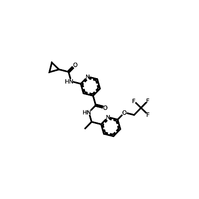 CC(NC(=O)c1ccnc(NC(=O)C2CC2)c1)c1cccc(OCC(F)(F)F)n1